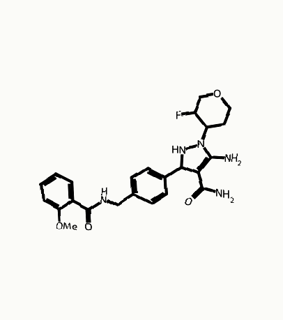 COc1ccccc1C(=O)NCc1ccc(C2NN(C3CCOCC3F)C(N)=C2C(N)=O)cc1